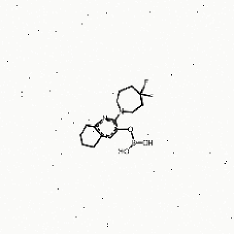 OB(O)Oc1cc2c(nc1N1CCCC(F)(F)CC1)CCCC2